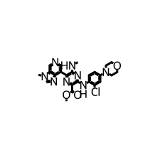 CNc1nc(Nc2ccc(N3CCOCC3)cc2Cl)c(C(=O)OC)nc1-c1cncc2c1ncn2C